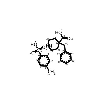 Cc1ccc(S(=O)(=O)O)cc1.O=C(O)C1(Cc2ccccc2)CCNCC1